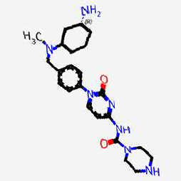 CN(Cc1ccc(-n2ccc(NC(=O)N3CCNCC3)nc2=O)cc1)C1CCC[C@@H](N)C1